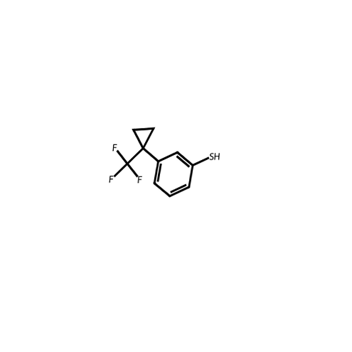 FC(F)(F)C1(c2cccc(S)c2)CC1